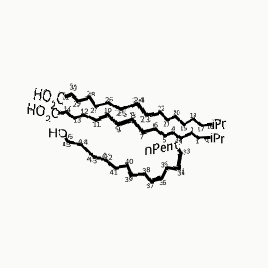 CC(C)CCCCCCCCCCCCCCC(=O)O.CC(C)CCCCCCCCCCCCCCC(=O)O.CCCCC/C=C\C/C=C\CCCCCCCCO